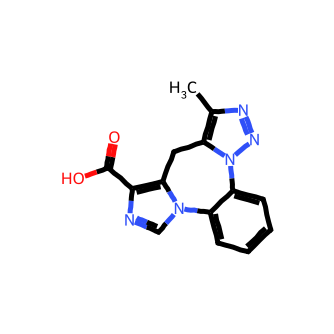 Cc1nnn2c1Cc1c(C(=O)O)ncn1-c1ccccc1-2